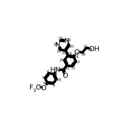 O=C(Nc1ccc(OC(F)(F)F)cc1)c1ccc(OCCO)c(-c2cncnc2)c1